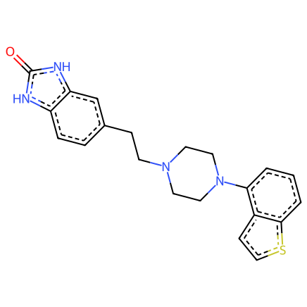 O=c1[nH]c2ccc(CCN3CCN(c4cccc5sccc45)CC3)cc2[nH]1